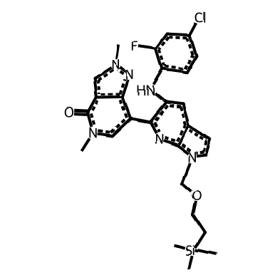 Cn1cc2c(=O)n(C)cc(-c3nc4c(ccn4COCC[Si](C)(C)C)cc3Nc3ccc(Cl)cc3F)c2n1